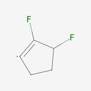 FC1=[C]CCC1F